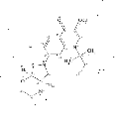 CC(C)(CF)n1cc(C(=O)O)c(=O)c2cc(F)c(N3C[C@@H]4OCCN[C@@H]4C3)cc21